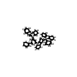 c1ccc(-c2nc(-n3c4ccccc4c4cc([Si](c5ccccc5)(c5ccccc5)c5ccccc5)ccc43)cc(-n3c4ccccc4n4c5ccccc5nc34)n2)cc1